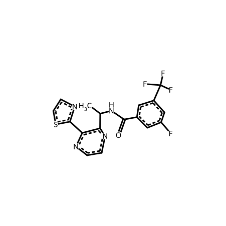 CC(NC(=O)c1cc(F)cc(C(F)(F)F)c1)c1nccnc1-c1nccs1